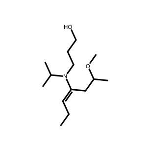 CC/C=C(\CC(C)OC)N(CCCO)C(C)C